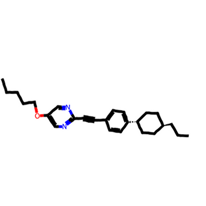 CCCCCOc1cnc(C#Cc2ccc([C@H]3CC[C@H](CCC)CC3)cc2)nc1